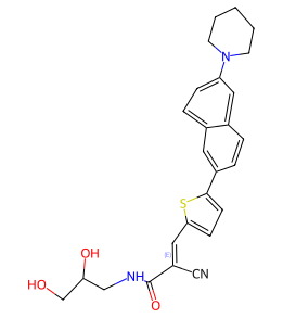 N#C/C(=C\c1ccc(-c2ccc3cc(N4CCCCC4)ccc3c2)s1)C(=O)NCC(O)CO